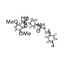 COc1ccc(OC)c(NS(=O)(=O)c2ccc(NC(=O)CCSc3ccc(I)cc3)cc2)c1